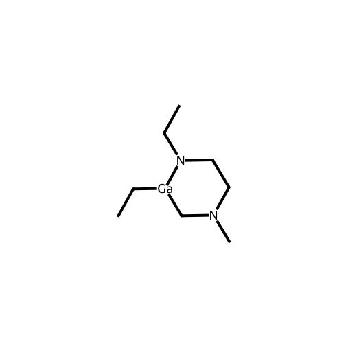 CC[N]1CCN(C)[CH2][Ga]1[CH2]C